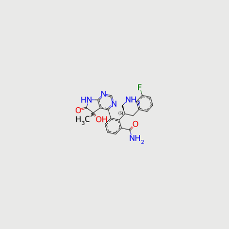 C[C@]1(O)C(=O)Nc2ncnc(-c3cccc(C(N)=O)c3[C@@H](CN)Cc3cccc(F)c3)c21